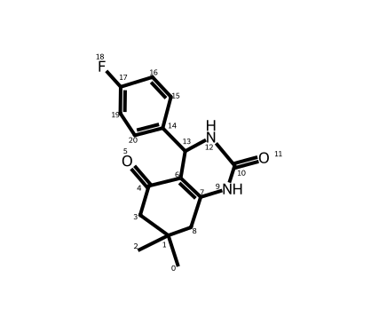 CC1(C)CC(=O)C2=C(C1)NC(=O)NC2c1ccc(F)cc1